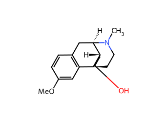 COc1ccc2c(c1)[C@]13CCN(C)[C@H](C2)[C@@H]1CCC(O)C3